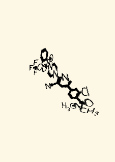 CN(C)C(=O)c1ccc(-c2cnc(N3CCN(S(=O)(=O)c4ccccc4OC(F)(F)F)CC3)c(C#N)c2)cc1Cl